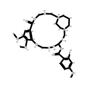 COc1ccc(C(=O)OC2CCCOc3cc(cc(OC)c3OC)C(=O)OCCCN3CCCN(CC2)CC3)c(F)c1